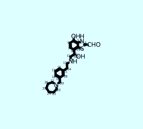 O=CC1Nc2c(O)ccc([C@@H](O)CNCCc3cccc(CN4CCCCCC4)c3)c2S1